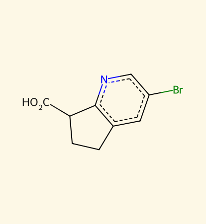 O=C(O)C1CCc2cc(Br)cnc21